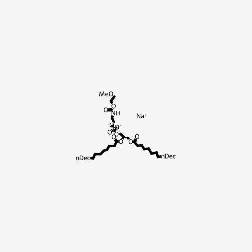 CCCCCCCCCCCCCCCCCC(=O)OC[C@H](COP(=O)([O-])OCCNC(=O)OCCOC)OC(=O)CCCCCCCCCCCCCCCCC.[Na+]